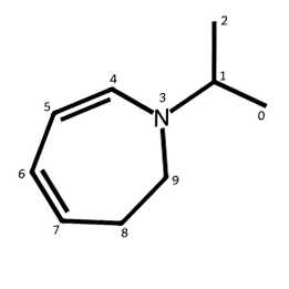 CC(C)N1C=CC=CCC1